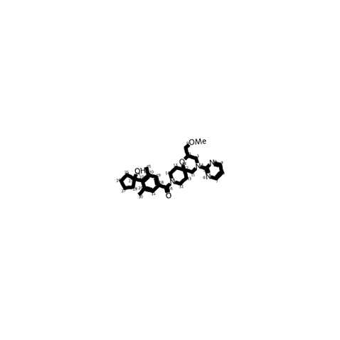 COCC1CN(c2ncccn2)CC2(CCN(C(=O)c3cc(C)c(C4(O)CCCC4)c(C)c3)CC2)O1